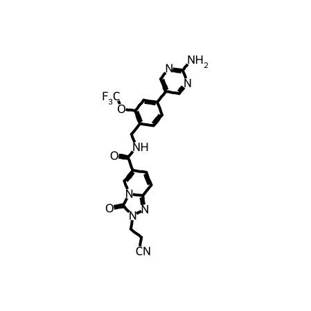 N#CCCn1nc2ccc(C(=O)NCc3ccc(-c4cnc(N)nc4)cc3OC(F)(F)F)cn2c1=O